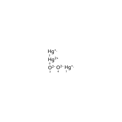 [Hg+2].[Hg+].[Hg+].[O-2].[O-2]